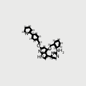 Nc1nccc(-c2c[nH]c3nc(OCc4ccc(-c5ccccn5)cc4)cc(OCc4ccccc4)c23)n1